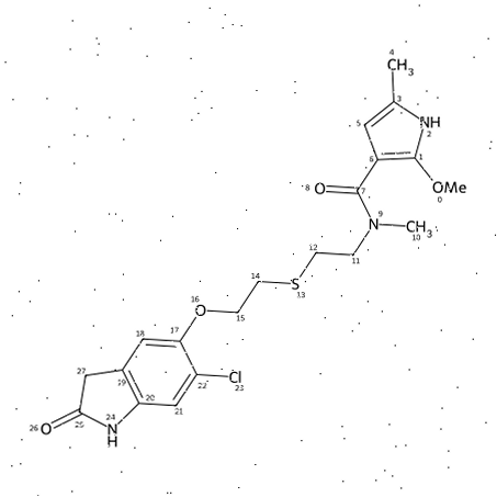 COc1[nH]c(C)cc1C(=O)N(C)CCSCCOc1cc2c(cc1Cl)NC(=O)C2